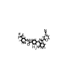 N#CN1CCO[C@@H](c2nc(-c3ccc(C(=O)Nc4cc(C(F)(F)F)ccn4)cc3)c3c(N)nccn23)C1